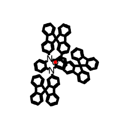 O=C(c1ccc2c(c1)C1(c3ccccc3-c3ccccc31)c1ccccc1-2)c1ccc2c(c1)C1(c3ccccc3-2)c2ccccc2-c2ccc(N3c4ccccc4N(c4ccc5c(c4)C4(c6ccccc6-c6ccccc64)c4ccccc4-5)c4ccccc43)cc21